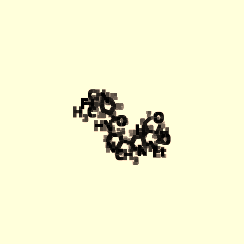 CCN1C(=O)[C@@H]2COCC[C@H]2c2cc(-c3cc(NC(=O)c4ccnc(C(C)(C)F)c4)cnc3C)cnc21